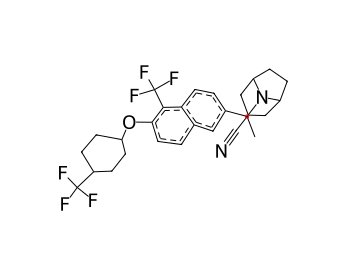 CC(c1ccc2c(C(F)(F)F)c(OC3CCC(C(F)(F)F)CC3)ccc2c1)N1C2CCC1CC(C#N)C2